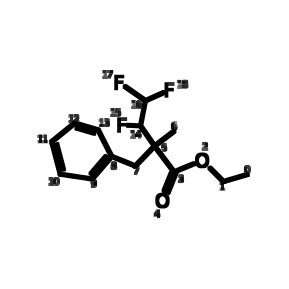 CCOC(=O)C(C)(Cc1ccccc1)C(F)C(F)F